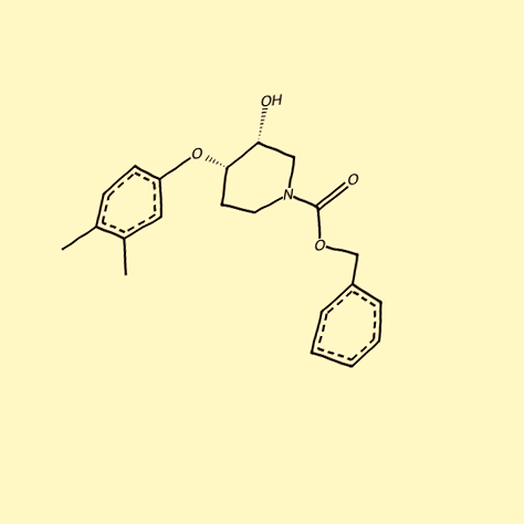 Cc1ccc(O[C@H]2CCN(C(=O)OCc3ccccc3)C[C@H]2O)cc1C